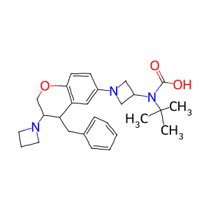 CC(C)(C)N(C(=O)O)C1CN(c2ccc3c(c2)C(Cc2ccccc2)C(N2CCC2)CO3)C1